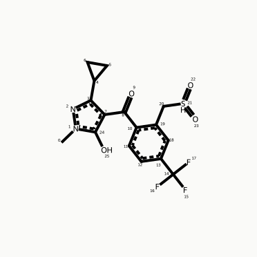 Cn1nc(C2CC2)c(C(=O)c2ccc(C(F)(F)F)cc2C[SH](=O)=O)c1O